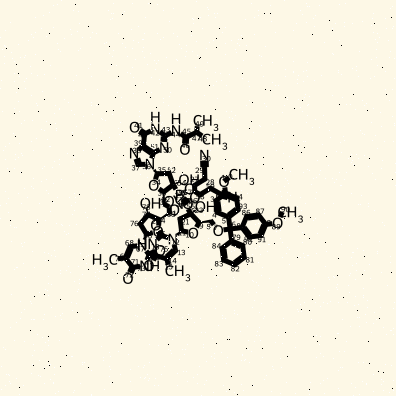 COc1ccc(C(OC[C@H]2O[C@@H](n3cc(C)c(=O)[nH]c3=O)C[C@@]2(O)P(=O)(OCCC#N)OC[C@H]2O[C@@H](n3cnc4c(=O)[nH]c(NC(=O)C(C)C)nc43)C[C@@]2(O)P(=O)(OCCC#N)OC[C@H]2O[C@@H](n3cc(C)c(=O)[nH]c3=O)C[C@@H]2O)(c2ccccc2)c2ccc(OC)cc2)cc1